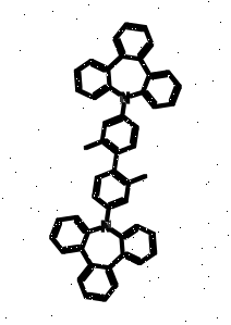 Cc1cc(N2c3ccccc3-c3ccccc3-c3ccccc32)ccc1-c1ccc(N2c3ccccc3-c3ccccc3-c3ccccc32)cc1C